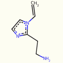 C=Cn1ccnc1CCN